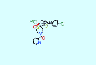 Cl.O=C(O)C[C@]1(c2ccc(-c3ccc(Cl)cc3)s2)CCN(C(=O)c2ccccn2)CCS1(=O)=O